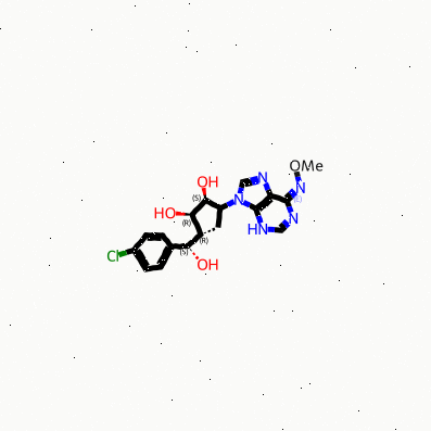 CO/N=c1/nc[nH]c2c1ncn2C1C[C@H]([C@H](O)c2ccc(Cl)cc2)[C@@H](O)[C@H]1O